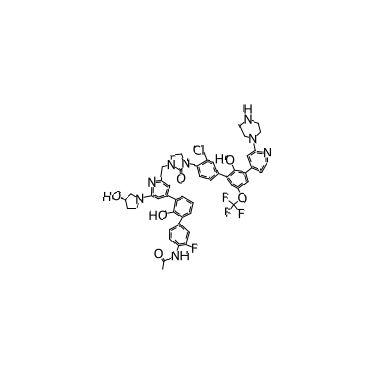 CC(=O)Nc1ccc(-c2cccc(-c3cc(CN4CCN(c5ccc(-c6cc(OC(F)(F)F)cc(-c7ccnc(N8CCNCC8)c7)c6O)cc5Cl)C4=O)nc(N4CC[C@@H](O)C4)c3)c2O)cc1F